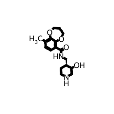 Cc1ccc(C(=O)NC[C@@H]2CCNCC2O)c2c1OCCCO2